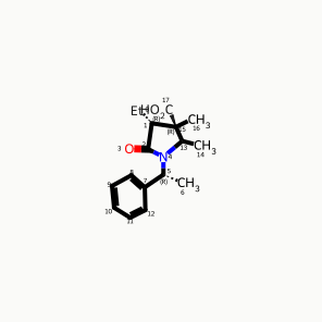 CC[C@H]1C(=O)N([C@H](C)c2ccccc2)C(C)[C@]1(C)C(=O)O